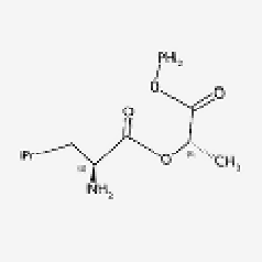 CC(C)C[C@H](N)C(=O)O[C@@H](C)C(=O)OP